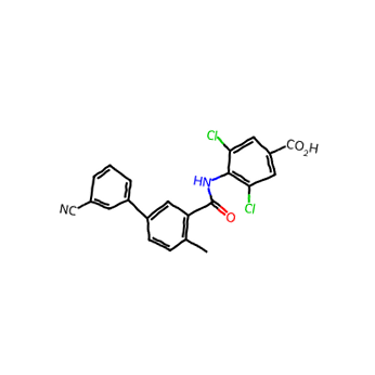 Cc1ccc(-c2cccc(C#N)c2)cc1C(=O)Nc1c(Cl)cc(C(=O)O)cc1Cl